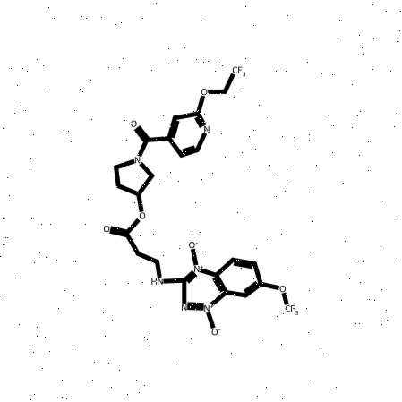 O=C(CCNc1n[n+]([O-])c2cc(OC(F)(F)F)ccc2[n+]1[O-])OC1CCN(C(=O)c2ccnc(OCC(F)(F)F)c2)C1